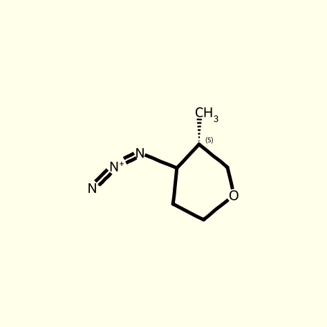 C[C@@H]1COCCC1N=[N+]=[N-]